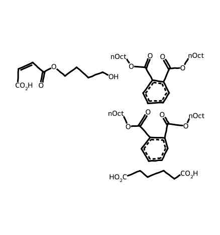 CCCCCCCCOC(=O)c1ccccc1C(=O)OCCCCCCCC.CCCCCCCCOC(=O)c1ccccc1C(=O)OCCCCCCCC.O=C(O)/C=C\C(=O)OCCCCO.O=C(O)CCCCC(=O)O